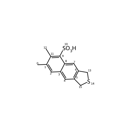 Cc1cc2cc3c(cc2c(S(=O)(=O)O)c1C)CSC3